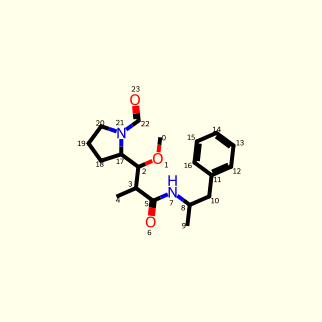 COC(C(C)C(=O)NC(C)Cc1ccccc1)C1CCCN1C=O